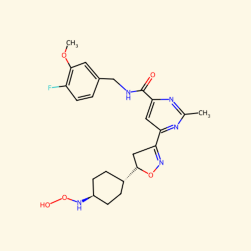 COc1cc(CNC(=O)c2cc(C3=NOC([C@H]4CC[C@H](NOO)CC4)C3)nc(C)n2)ccc1F